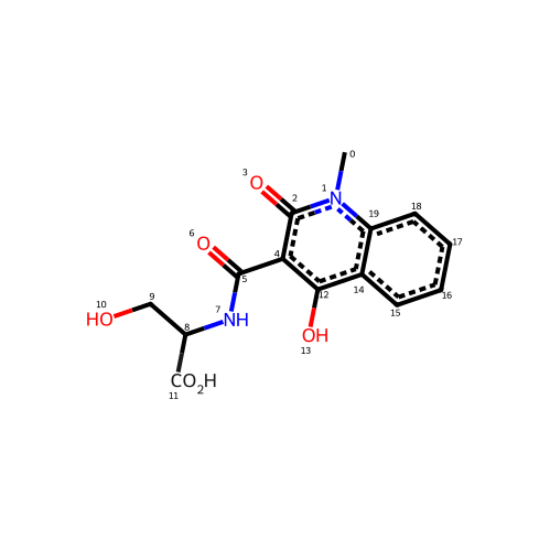 Cn1c(=O)c(C(=O)NC(CO)C(=O)O)c(O)c2ccccc21